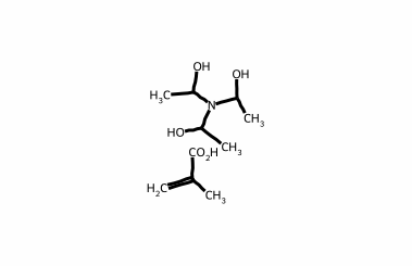 C=C(C)C(=O)O.CC(O)N(C(C)O)C(C)O